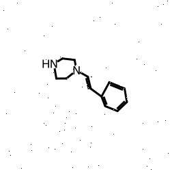 [C](=Cc1ccccc1)N1CCNCC1